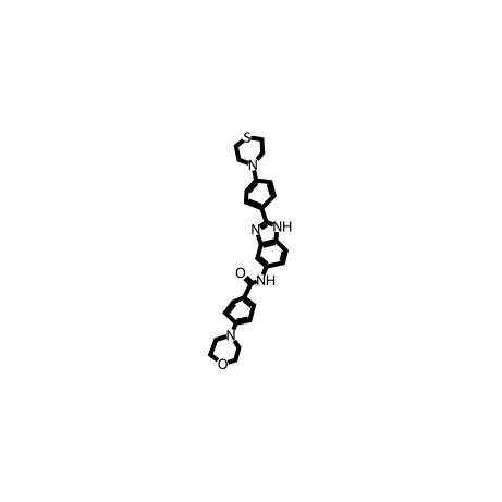 O=C(Nc1ccc2[nH]c(-c3ccc(N4CCSCC4)cc3)nc2c1)c1ccc(N2CCOCC2)cc1